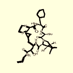 C=CCNC(=O)C(O)C(CC1CC1)NC(=O)[C@@H]1[C@@H]2[C@H](CN1C(=O)[C@@H](NC(=O)[C@@H](NC(=O)c1cnccn1)C1CCCCC1)C(C)(C)C)C2(C)C